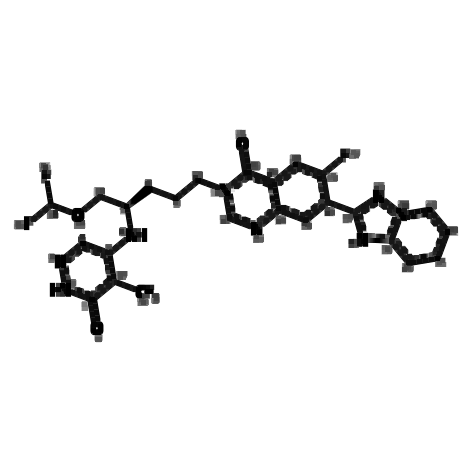 O=c1[nH]ncc(N[C@H](CCCn2cnc3cc(-c4nc5ccccn5n4)c(F)cc3c2=O)COC(F)F)c1C(F)(F)F